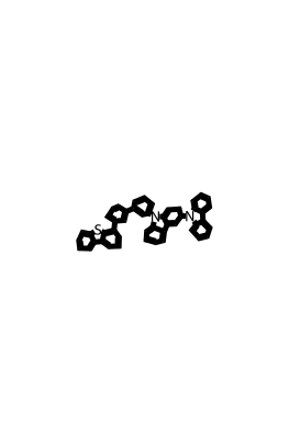 C1=c2c(n(-c3cccc(-c4cccc(-c5cccc6c5sc5ccccc56)c4)c3)c3ccccc23)=CCC1n1c2ccccc2c2ccccc21